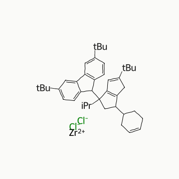 CC(C)C1(C2c3ccc(C(C)(C)C)cc3-c3cc(C(C)(C)C)ccc32)CC(C2CC=CCC2)C2=C1C=C(C(C)(C)C)C2.[Cl-].[Cl-].[Zr+2]